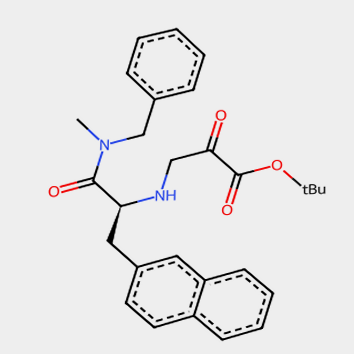 CN(Cc1ccccc1)C(=O)[C@H](Cc1ccc2ccccc2c1)NCC(=O)C(=O)OC(C)(C)C